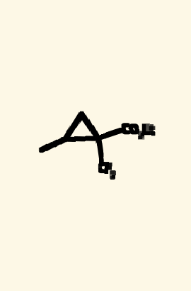 CCOC(=O)C1(C(F)(F)F)CC1C